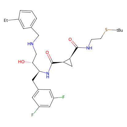 CCc1cccc(CNC[C@@H](O)[C@H](Cc2cc(F)cc(F)c2)NC(=O)[C@@H]2C[C@@H]2C(=O)NCCSC(C)(C)C)c1